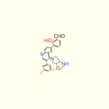 O=Cc1cccc(-c2ccc3ncc(-c4cc(F)cc(F)c4)c(N4CCC5NCCOC5C4)c3c2)c1O